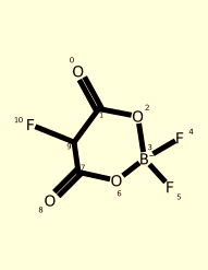 O=C1O[B-](F)(F)OC(=O)C1F